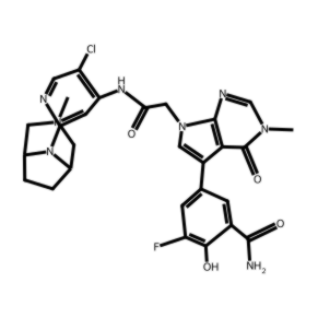 CN1CC2CCC(C1)N2c1cc(NC(=O)Cn2cc(-c3cc(F)c(O)c(C(N)=O)c3)c3c(=O)n(C)cnc32)c(Cl)cn1